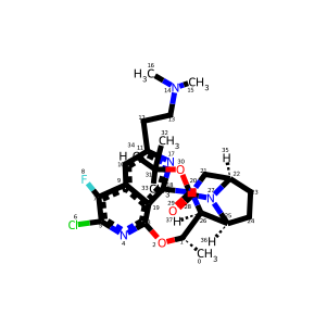 C[C@@H]1Oc2nc(Cl)c(F)c3cc(CCN(C)C)nc(c23)N2C[C@H]3CC[C@@H]([C@@H]12)N3C(=O)OC(C)(C)C